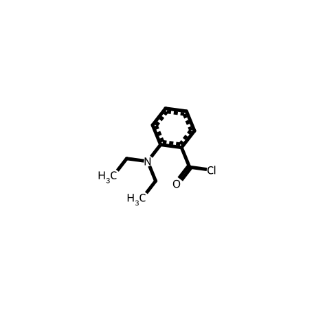 CCN(CC)c1ccccc1C(=O)Cl